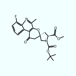 COC(=O)[C@@H]1C[C@@]2(CC(=O)c3c(c(C)nc4c(F)cccc34)O2)CN1C(=O)OC(C)(C)C